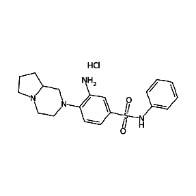 Cl.Nc1cc(S(=O)(=O)Nc2ccccc2)ccc1N1CCN2CCCC2C1